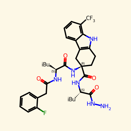 CCC(C)[C@H](NC(=O)Cc1ccccc1F)C(=O)N[C@]1(C(=O)N[C@H](C(=O)NN)C(C)CC)CCc2[nH]c3c(C(F)(F)F)cccc3c2C1